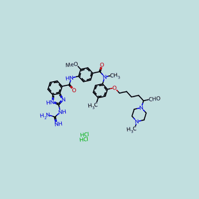 COc1cc(C(=O)N(C)c2ccc(C)cc2OCCCCC(C=O)N2CCN(C)CC2)ccc1NC(=O)c1cccc2[nH]c(NC(=N)N)nc12.Cl.Cl